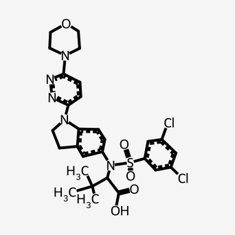 CC(C)(C)C(C(=O)O)N(c1ccc2c(c1)CCN2c1ccc(N2CCOCC2)nn1)S(=O)(=O)c1cc(Cl)cc(Cl)c1